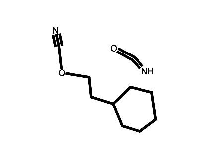 N#COCCC1CCCCC1.N=C=O